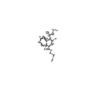 CCCCNc1nc(C)c(C(=O)OCC)c2nccnc12